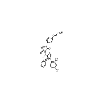 C[C@@H](c1ccccc1)C(c1ncc(-c2ccc(Cl)cc2Cl)[nH]1)N1C(=O)N[C@H](c2ccc(OCCO)cc2)C1=O